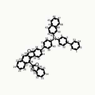 c1ccc(-c2ccc(N(c3ccc(-c4ccc5c(c4)oc4cc6ccccc6c(-c6nc7ccccc7o6)c45)cc3)c3ccc4ccccc4c3)cc2)cc1